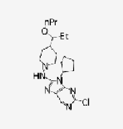 CCCOC(CC)C1CCN(Nc2nc3cnc(Cl)nc3n2C2CCCC2)CC1